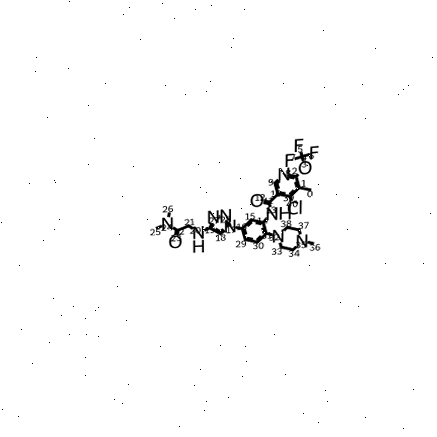 Cc1c(OC(F)(F)F)ncc(C(=O)Nc2cc(-n3cc(NCC(=O)N(C)C)nn3)ccc2N2CCN(C)CC2)c1Cl